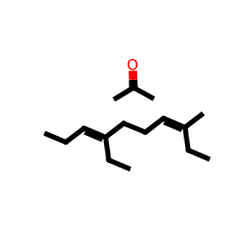 CC(C)=O.CC/C=C(\CC)CC/C=C(/C)CC